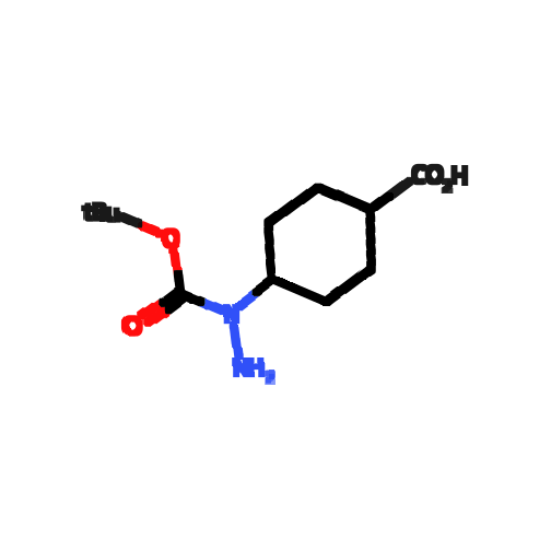 CC(C)(C)OC(=O)N(N)C1CCC(C(=O)O)CC1